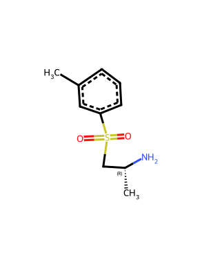 Cc1cccc(S(=O)(=O)C[C@@H](C)N)c1